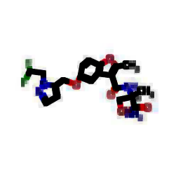 Cc1oc2ccc(OCc3ccnn3CC(F)F)cc2c1C(=O)N[C@@](C)(CO)C(N)=O